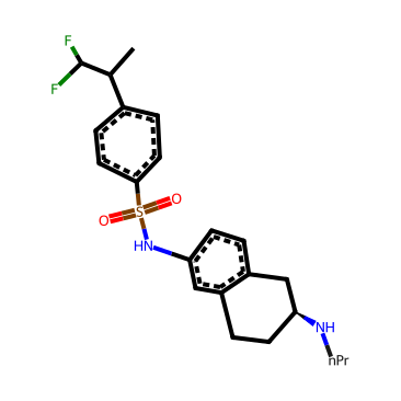 CCCN[C@H]1CCc2cc(NS(=O)(=O)c3ccc(C(C)C(F)F)cc3)ccc2C1